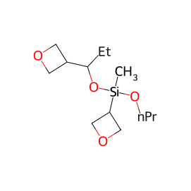 CCCO[Si](C)(OC(CC)C1COC1)C1COC1